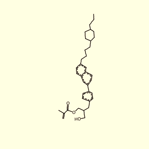 C=C(C)C(=O)OCC(CO)Cc1ccc(-c2ccc3cc(CCCCC4CCC(CCC)CC4)ccc3c2)cc1